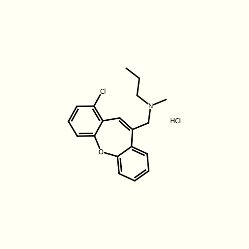 CCCN(C)CC1=Cc2c(Cl)cccc2Oc2ccccc21.Cl